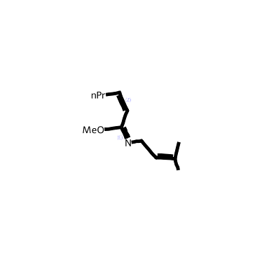 CCC/C=C\C(=N/CC=C(C)C)OC